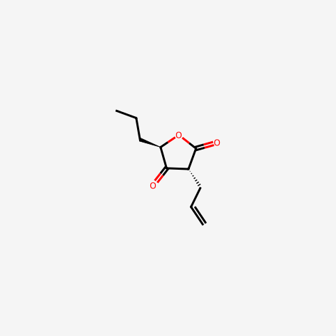 C=CC[C@H]1C(=O)O[C@H](CCC)C1=O